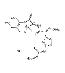 CON=C(C(=O)N[C@@H]1C(=O)N2C(C(=O)[O-])=C(CO)CS[C@@H]12)c1csc(NC(=O)OC(C)(C)C)n1.[Na+]